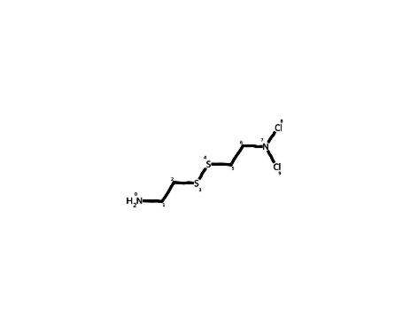 NCCSSCCN(Cl)Cl